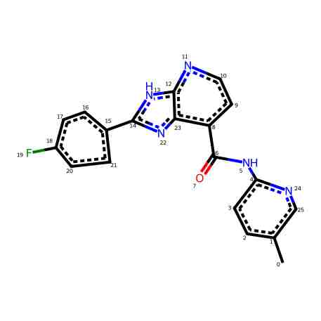 Cc1ccc(NC(=O)c2ccnc3[nH]c(-c4ccc(F)cc4)nc23)nc1